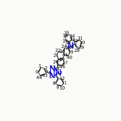 c1ccc(-c2nc(-c3ccccc3)nc(-c3ccc4c(c3)CCc3cc(-n5c6ccccc6c6ccccc65)ccc3-4)n2)cc1